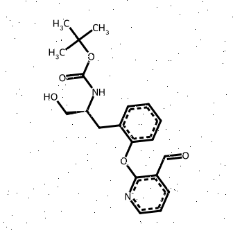 CC(C)(C)OC(=O)N[C@H](CO)Cc1ccccc1Oc1ncccc1C=O